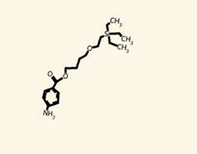 CC[Si](CC)(CC)CCOCCCCOC(=O)c1ccc(N)cc1